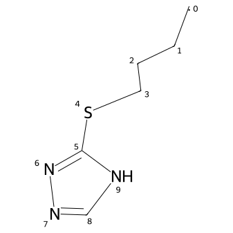 [CH2]CCCSc1nnc[nH]1